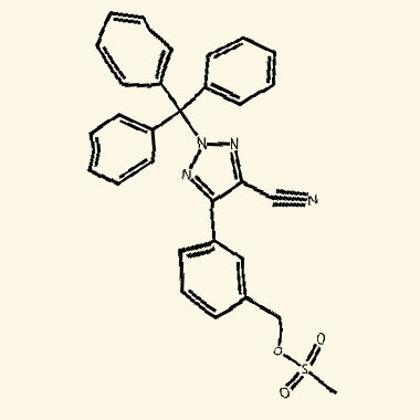 CS(=O)(=O)OCc1cccc(-c2nn(C(c3ccccc3)(c3ccccc3)c3ccccc3)nc2C#N)c1